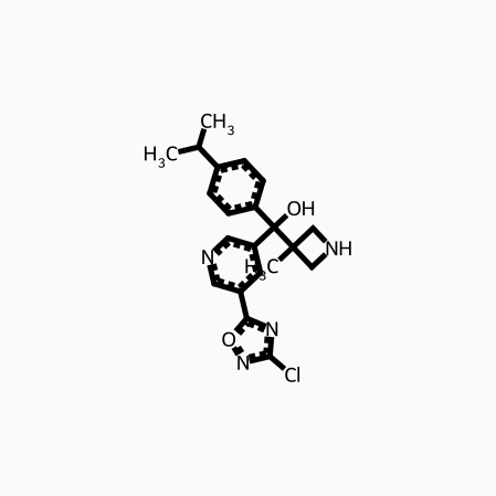 CC(C)c1ccc(C(O)(c2cncc(-c3nc(Cl)no3)c2)C2(C)CNC2)cc1